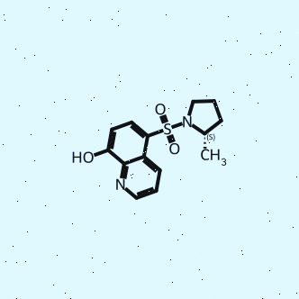 C[C@H]1CCCN1S(=O)(=O)c1ccc(O)c2ncccc12